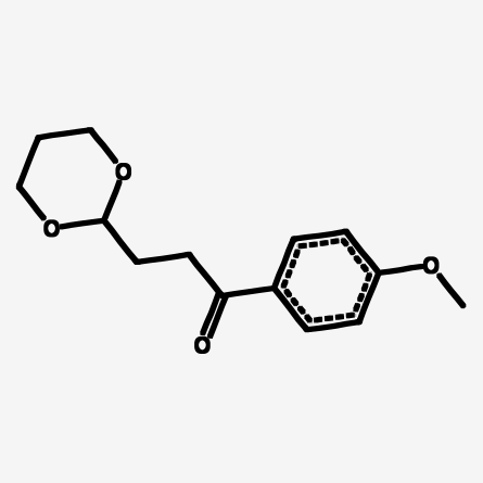 COc1ccc(C(=O)CCC2OCCCO2)cc1